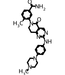 Cc1ccc(C(N)=O)cc1N1CCc2nc(Nc3ccc(N4CCN(C)CC4)cc3)ncc2C1=O